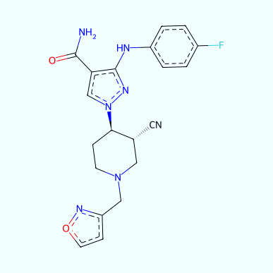 N#C[C@@H]1CN(Cc2ccon2)CC[C@H]1n1cc(C(N)=O)c(Nc2ccc(F)cc2)n1